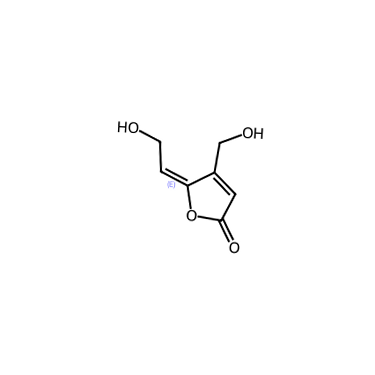 O=C1C=C(CO)/C(=C\CO)O1